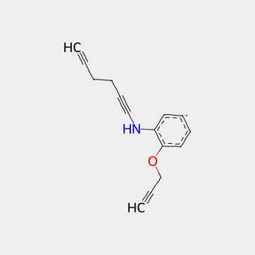 C#CCCC#CNc1c[c]ccc1OCC#C